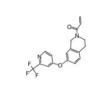 C=CC(=O)N1CCc2ccc(Oc3ccnc(C(F)(F)F)c3)cc2C1